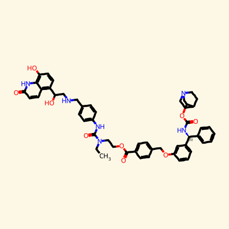 CCN(CCOC(=O)c1ccc(COc2cccc([C@@H](NC(=O)OC3CN4CCC3CC4)c3ccccc3)c2)cc1)C(=O)Nc1ccc(CNCC(O)c2ccc(O)c3[nH]c(=O)ccc23)cc1